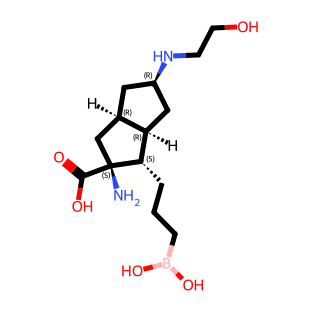 N[C@@]1(C(=O)O)C[C@H]2C[C@@H](NCCO)C[C@H]2[C@@H]1CCCB(O)O